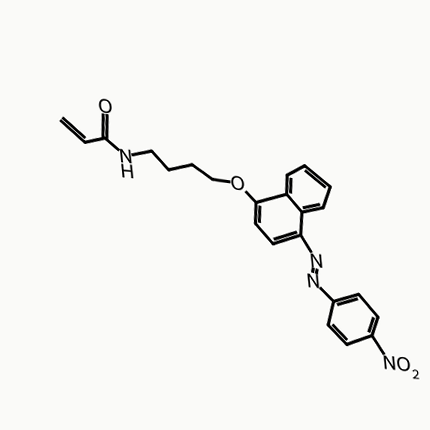 C=CC(=O)NCCCCOc1ccc(N=Nc2ccc([N+](=O)[O-])cc2)c2ccccc12